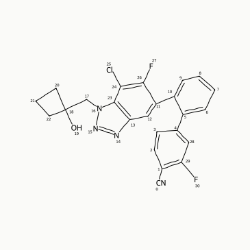 N#Cc1ccc(-c2ccccc2-c2cc3nnn(CC4(O)CCC4)c3c(Cl)c2F)cc1F